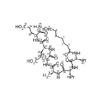 CCCCCCCCCCCCCCCC(=O)N[C@H](C(=O)N[C@H](C(=O)N[C@@H](C)C(=O)N[C@@H](C)C(=O)N[C@@H](CCC(=O)O)C(=O)N[C@@H](CCC(=O)O)C(N)=O)C(C)C)C(C)C